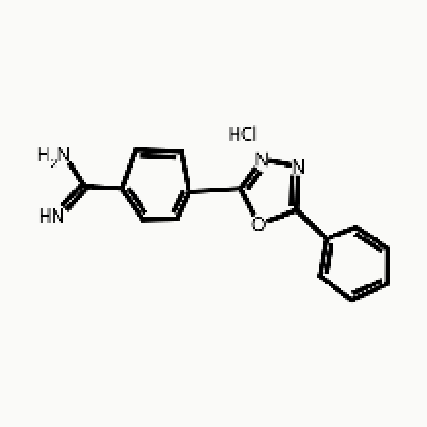 Cl.N=C(N)c1ccc(-c2nnc(-c3ccccc3)o2)cc1